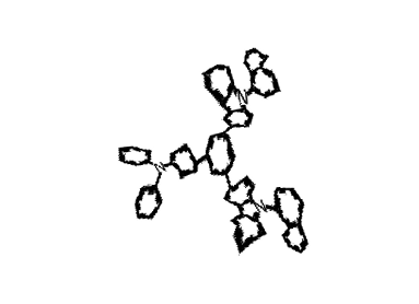 c1ccc(N(c2ccccc2)c2ccc(-c3cc(-c4ccc5c(c4)c4ccccc4n5-c4cccc5ccccc45)cc(-c4ccc5c(c4)c4ccccc4n5-c4cccc5ccccc45)c3)cc2)cc1